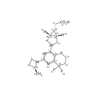 C[C@H]1CCN1c1nc(N2C[C@@H]3[C@H](CC(=O)O)[C@@H]3C2)c2c(n1)C(F)(F)CCC2